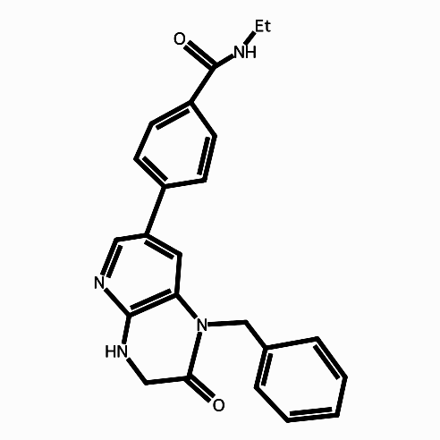 CCNC(=O)c1ccc(-c2cnc3c(c2)N(Cc2ccccc2)C(=O)CN3)cc1